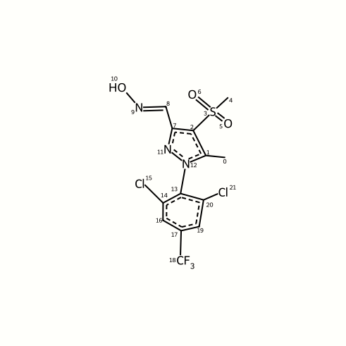 Cc1c(S(C)(=O)=O)c(C=NO)nn1-c1c(Cl)cc(C(F)(F)F)cc1Cl